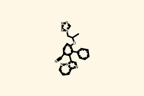 CC(Cn1cnnn1)Oc1ccc(C#N)c(-c2cnc3cccnn23)c1-c1ccccc1